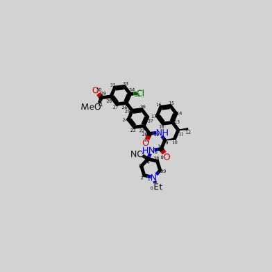 CCN1CCC(C#N)(NC(=O)[C@H](C[C@H](C)c2ccccc2)NC(=O)c2ccc(-c3cc(C(=O)OC)ccc3Cl)cc2)CC1